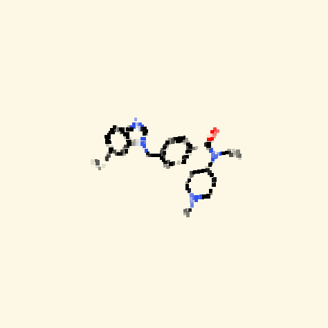 Cc1ccc2ncn(Cc3ccc(C(=O)N(C)C4CCN(C(C)C)CC4)cc3)c2c1